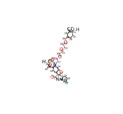 CNC(=O)c1c(-c2ccc(F)cc2)oc2cc(N(CCOCCOCCOCc3cccc(C(=O)O)c3)S(C)(=O)=O)c(C3CC3)cc12